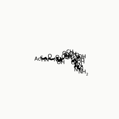 C.CC(=O)SCCNC(=O)CCNC(=O)C(O)C(C)(C)COP(=O)(O)OP(=O)(O)OC[C@H]1O[C@@H](n2cnc3c(N)ncnc32)[C@H](O)[C@@H]1OP(=O)(O)O